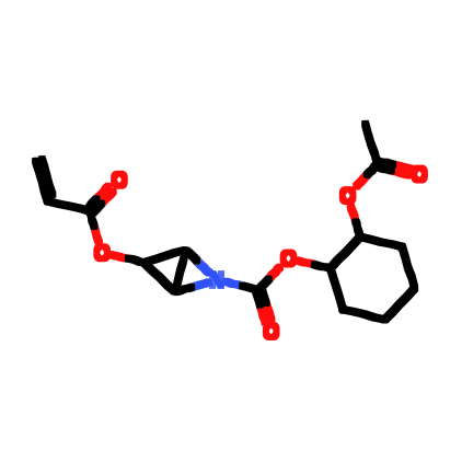 C=CC(=O)OC1C2C1N2C(=O)OC1CCCCC1OC(C)=O